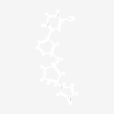 Clc1cc(-c2cccc(Oc3cccc(-n4ccnc4)c3)c2)ncn1